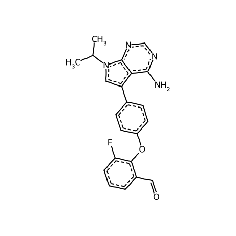 CC(C)n1cc(-c2ccc(Oc3c(F)cccc3C=O)cc2)c2c(N)ncnc21